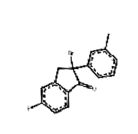 Cc1cccc(C2(Br)Cc3cc(F)ccc3C2=O)c1